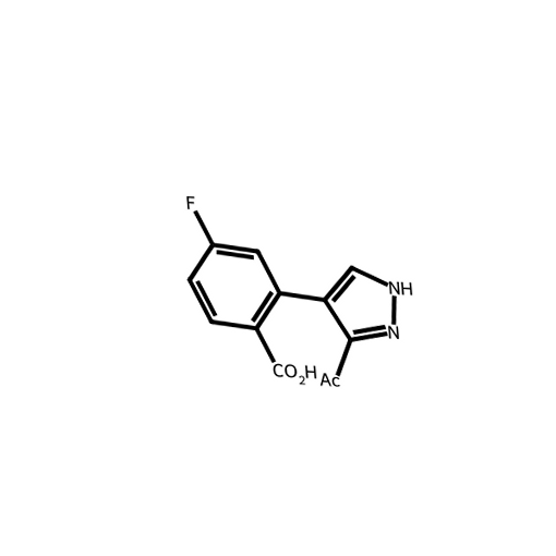 CC(=O)c1n[nH]cc1-c1cc(F)ccc1C(=O)O